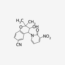 CC1(C)Oc2ccc(C#N)cc2C(n2cccc([N+](=O)[O-])c2=O)C1O